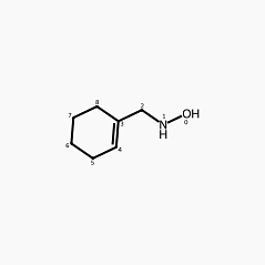 ONCC1=CCCCC1